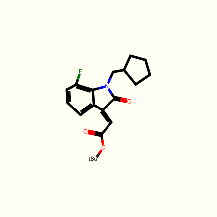 CC(C)(C)OC(=O)/C=C1/C(=O)N(CC2CCCC2)c2c(F)cccc21